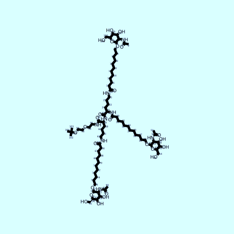 CC(=O)NC1C(OCCCCCCCCCCCC(=O)NCCCCC(NC(=O)CCCCCCCCCCCOC2OC(CO)C(O)C(O)C2NC(C)=O)C(=O)NC(CCCCNC(=O)CCCCCCCCCCCOC2O[C@H](CO)C(O)C(O)C2NC(C)=O)C(=O)NCCOCCOC(C)(C)C)OC(CO)C(O)C1O